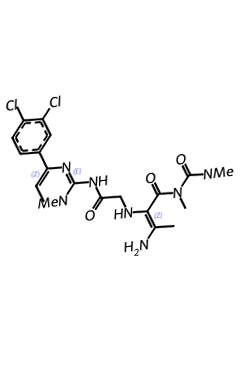 C/C=C(\N=C(/NC)NC(=O)CN/C(C(=O)N(C)C(=O)NC)=C(/C)N)c1ccc(Cl)c(Cl)c1